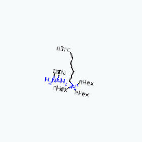 CCCCCCCCCCCCCC[N+](CCCCCC)(CCCCCC)CCCCCC.N#CN.N#CN